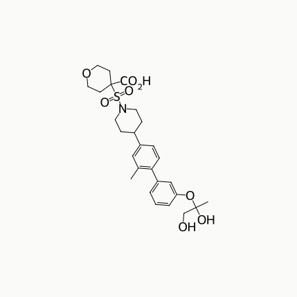 Cc1cc(C2CCN(S(=O)(=O)C3(C(=O)O)CCOCC3)CC2)ccc1-c1cccc(OC(C)(O)CO)c1